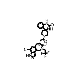 O=C1Nc2ccccc2C2(CCN(C(=O)C[C@@H]3Cc4cc(Cl)c5[nH]ncc5c4CN(CC(F)(F)F)C3=O)CC2)N1